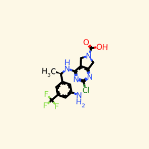 C[C@@H](Nc1nc(Cl)nc2c1CN(C(=O)O)C2)c1cc(N)cc(C(F)(F)F)c1